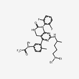 CCN(CC)CCCC(C)Nc1nc(-c2cc(N(C(=O)C(F)(F)F)C(C)C)ccc2C)c2c(n1)N(c1c(F)cccc1F)C(=O)NC2